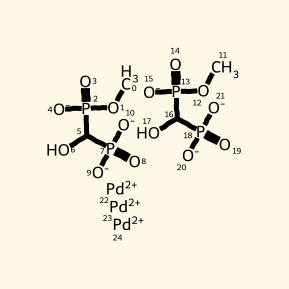 COP(=O)([O-])C(O)P(=O)([O-])[O-].COP(=O)([O-])C(O)P(=O)([O-])[O-].[Pd+2].[Pd+2].[Pd+2]